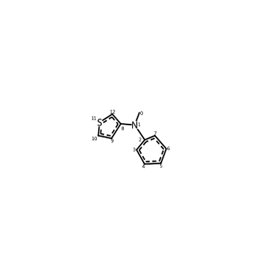 CN(c1ccccc1)c1ccsc1